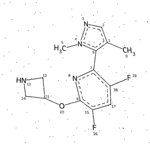 Cc1cnn(C)c1-c1nc(OC2CNC2)c(F)cc1F